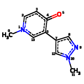 Cn1ccc(=O)c(-c2cnn(C)c2)c1